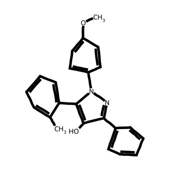 COc1ccc(-n2nc(-c3ccccc3)c(O)c2-c2ccccc2C)cc1